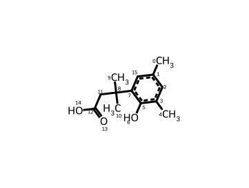 Cc1cc(C)c(O)c(C(C)(C)CC(=O)O)c1